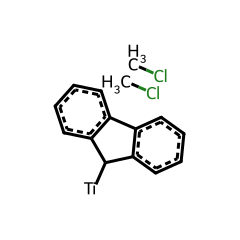 CCl.CCl.[Ti][CH]1c2ccccc2-c2ccccc21